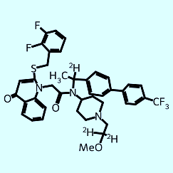 [2H]C([2H])(CN1CCC(N(C(=O)Cn2c(SCc3cccc(F)c3F)cc(=O)c3ccccc32)C([2H])(C)c2ccc(-c3ccc(C(F)(F)F)cc3)cc2)CC1)OC